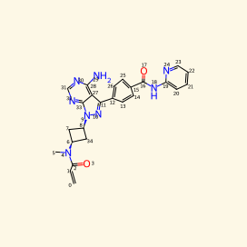 C=CC(=O)N(C)[C@H]1C[C@@H](n2nc(-c3ccc(C(=O)Nc4ccccn4)cc3)c3c(N)ncnc32)C1